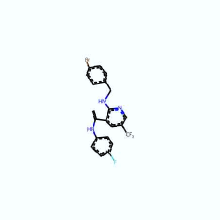 C=C(Nc1ccc(F)cc1)c1cc(C(F)(F)F)cnc1NCc1ccc(Br)cc1